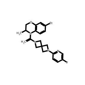 C=C(N1CC2(C1)CN(c1ccc(F)cn1)C2)N1c2ccc(CC)cc2OCC1C